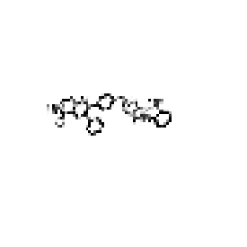 O=C(Nc1ccccc1F)C1CCN(Cc2ccc(-c3nc4cc[nH]c(=O)c4cc3-c3ccccc3)cc2)C1